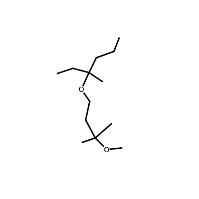 CCCC(C)(CC)OCCC(C)(C)OC